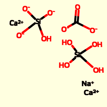 O=C([O-])[O-].O[Si](O)(O)O.[Ca+2].[Ca+2].[Na+].[O-][Si]([O-])([O-])O